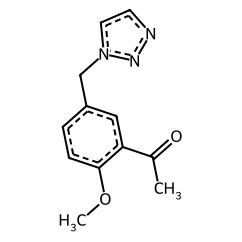 COc1ccc(Cn2ccnn2)cc1C(C)=O